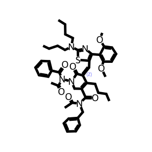 CCCCC1=C(C(=O)N(Cc2ccccc2)C(C)=O)CN(N(C(C)=O)C(=O)c2ccccc2)C(=O)/C1=C\c1sc(N(CCCC)CCCC)nc1-c1c(OC)cccc1OC